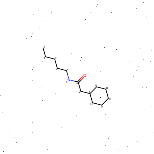 CCCCC[N]C(=O)CC1CCCCC1